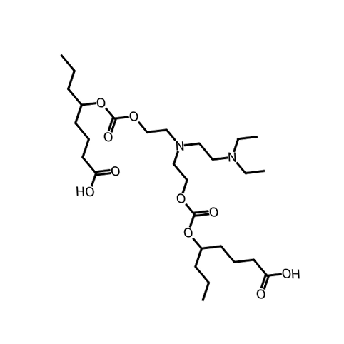 CCCC(CCCC(=O)O)OC(=O)OCCN(CCOC(=O)OC(CCC)CCCC(=O)O)CCN(CC)CC